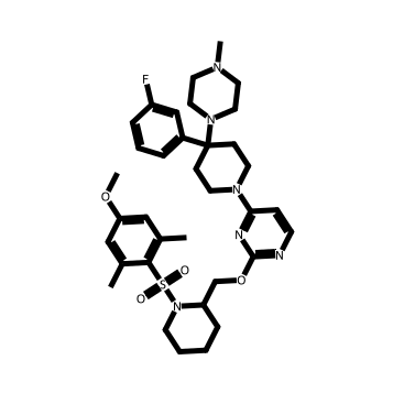 COc1cc(C)c(S(=O)(=O)N2CCCCC2COc2nccc(N3CCC(c4cccc(F)c4)(N4CCN(C)CC4)CC3)n2)c(C)c1